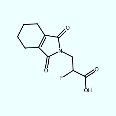 O=C(O)C(F)CN1C(=O)C2=C(CCCC2)C1=O